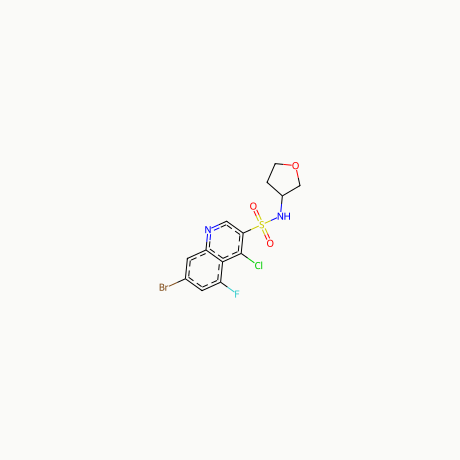 O=S(=O)(NC1CCOC1)c1cnc2cc(Br)cc(F)c2c1Cl